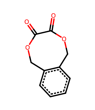 O=C1OCc2ccccc2COC1=O